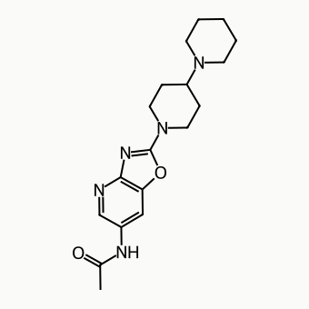 CC(=O)Nc1cnc2nc(N3CCC(N4CCCCC4)CC3)oc2c1